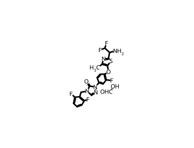 Cc1nc(C(N)C(F)F)sc1Oc1ccc(-n2ncn(Cc3c(F)cccc3F)c2=O)cc1F.O=CO